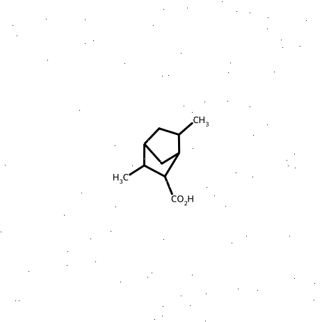 CC1CC2CC1C(C(=O)O)C2C